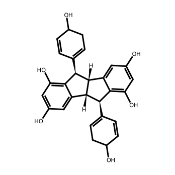 Oc1cc(O)c2c(c1)[C@@H]1[C@@H](c3cc(O)cc(O)c3[C@H]1C1=CCC(O)C=C1)[C@@H]2C1=CCC(O)C=C1